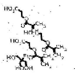 C=C(C)C(=O)OCCC(=O)O.C=C(C)C(=O)OCCC(=O)O.C=C(C)C(=O)OCCC(=O)O.CCC(CO)(CO)CO